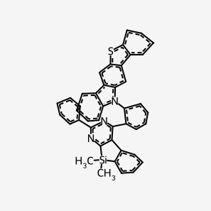 C[Si]1(C)c2ccccc2-c2c(-c3ccccc3-n3c4ccccc4c4cc5sc6ccccc6c5cc43)nc(-c3ccccc3)nc21